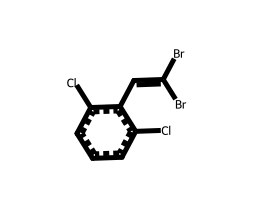 Clc1cccc(Cl)c1C=C(Br)Br